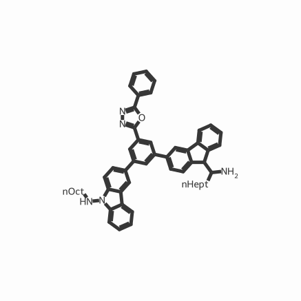 CCCCCCCCNn1c2ccccc2c2cc(-c3cc(-c4ccc5c(c4)-c4ccccc4C5C(N)CCCCCCC)cc(-c4nnc(-c5ccccc5)o4)c3)ccc21